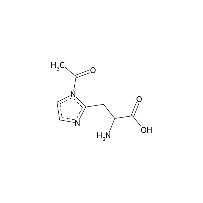 CC(=O)n1ccnc1CC(N)C(=O)O